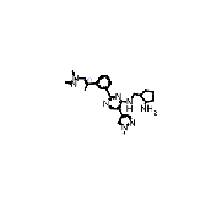 C=NN(C)/C=C(\C)c1cccc(-c2ncc(-c3cnn(C)c3)c(NCC3CCCC3N)n2)c1